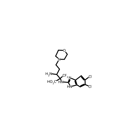 NC(CCN1CCOCC1)C(Nc1nc2cc(Cl)c(Cl)cc2[nH]1)(C(=O)O)C(F)(F)F